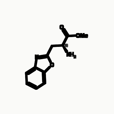 COC(=O)[C@@H](N)Cc1nc2ccccc2o1